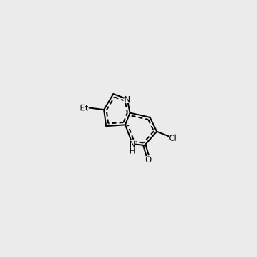 CCc1cnc2cc(Cl)c(=O)[nH]c2c1